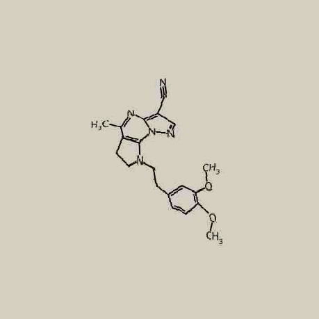 COc1ccc(CCN2CCc3c(C)nc4c(C#N)cnn4c32)cc1OC